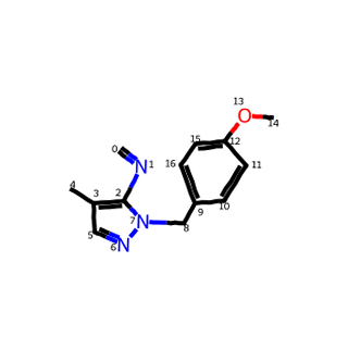 C=Nc1c(C)cnn1Cc1ccc(OC)cc1